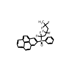 CC(F)(F)CC(F)(F)CC(F)(F)P(=O)(c1ccccc1)c1cc2ccc3cccc4ccc(c1)c2c34